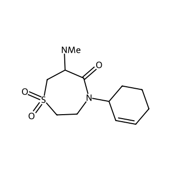 CNC1CS(=O)(=O)CCN(C2C=CCCC2)C1=O